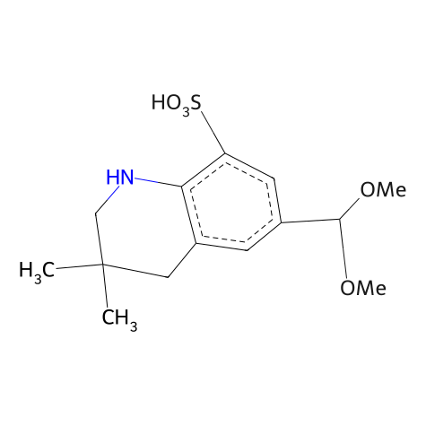 COC(OC)c1cc2c(c(S(=O)(=O)O)c1)NCC(C)(C)C2